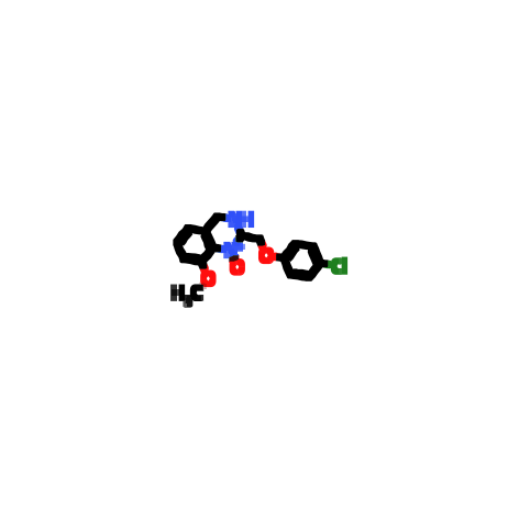 COc1cccc2c1[N+](=O)C(COc1ccc(Cl)cc1)NC2